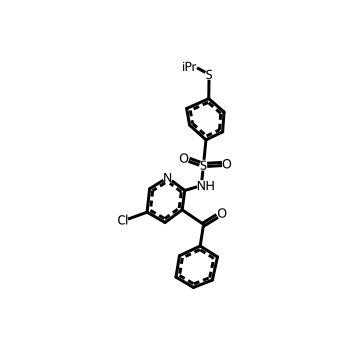 CC(C)Sc1ccc(S(=O)(=O)Nc2ncc(Cl)cc2C(=O)c2ccccc2)cc1